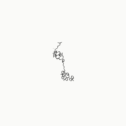 CC(=O)O[C@@H]1[C@@H](OC(C)=O)[C@H](SCCCCCCOC2CC[C@@]3(C)C(=CC[C@H]4[C@@H]5CC[C@H]([C@H](C)CCCC(C)C)[C@@]5(C)CC[C@@H]43)C2)OC[C@@H]1OC(C)=O